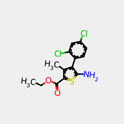 CCOC(=O)c1sc(N)c(-c2ccc(Cl)cc2Cl)c1C